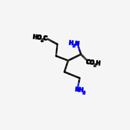 NCCC(CCC(=O)O)C(N)C(=O)O